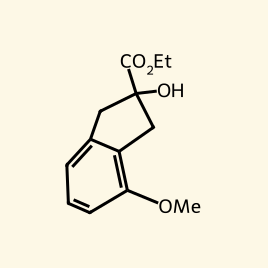 CCOC(=O)C1(O)Cc2cccc(OC)c2C1